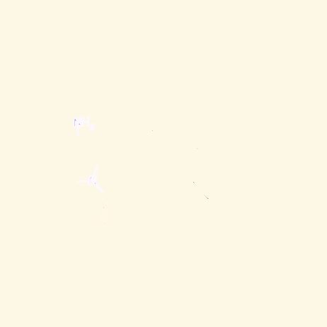 Cc1cccc(-c2ccccc2C2CC2C(=O)N2CCC(N)C2)c1